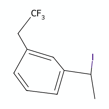 CC(I)c1cccc(CC(F)(F)F)c1